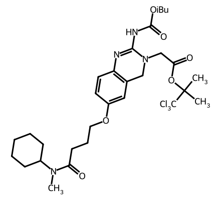 CC(C)COC(=O)NC1=Nc2ccc(OCCCC(=O)N(C)C3CCCCC3)cc2CN1CC(=O)OC(C)(C)C(Cl)(Cl)Cl